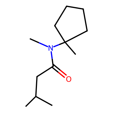 CC(C)CC(=O)N(C)C1(C)CCCC1